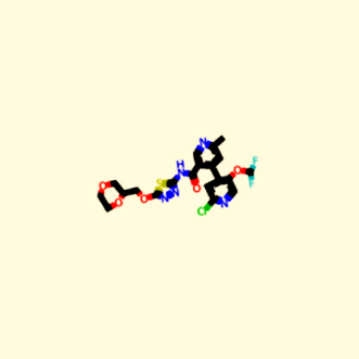 Cc1cc(-c2cc(Cl)ncc2OC(F)F)c(C(=O)Nc2nnc(OCC3COCCO3)s2)cn1